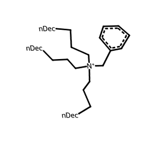 CCCCCCCCCCCCC[N+](CCCCCCCCCCCCC)(CCCCCCCCCCCCC)Cc1ccccc1